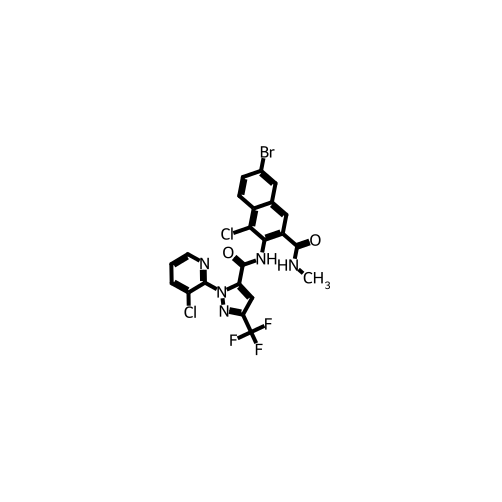 CNC(=O)c1cc2cc(Br)ccc2c(Cl)c1NC(=O)c1cc(C(F)(F)F)nn1-c1ncccc1Cl